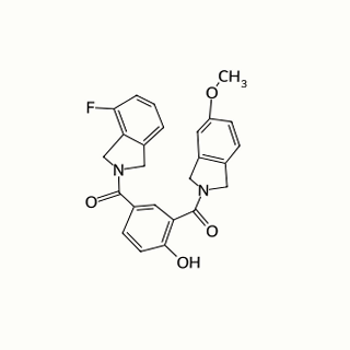 COc1ccc2c(c1)CN(C(=O)c1cc(C(=O)N3Cc4cccc(F)c4C3)ccc1O)C2